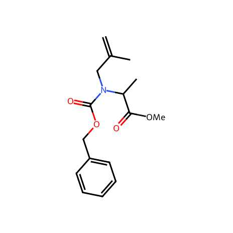 C=C(C)CN(C(=O)OCc1ccccc1)C(C)C(=O)OC